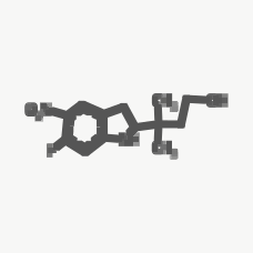 CC(C)(CCO)C1Cc2cc([N+](=O)[O-])c(F)cc2N1